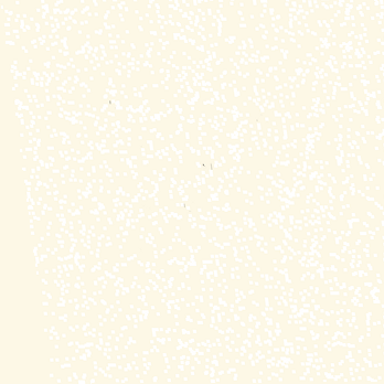 CCOc1cnc2c(-c3cc4ccccc4o3)cc(Cl)cc2c1